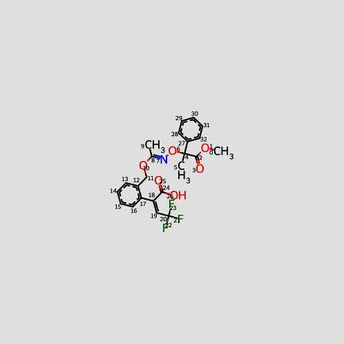 COC(=O)C(C)(ON=C(C)OCc1ccccc1C(=CC(F)(F)F)C(=O)O)c1ccccc1